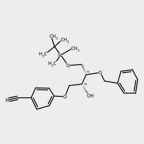 CC(C)(C)[Si](C)(C)OC[C@H](OCc1ccccc1)[C@H](O)COc1ccc(C#N)cc1